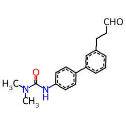 CN(C)C(=O)Nc1ccc(-c2cccc(CCC=O)c2)cc1